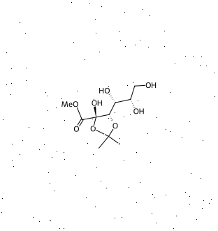 COC(=O)[C@@]1(O)OC(C)(C)O[C@H]1[C@H](O)[C@@H](O)CO